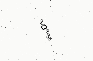 CN(C)OOSOc1ccc(C=O)cc1